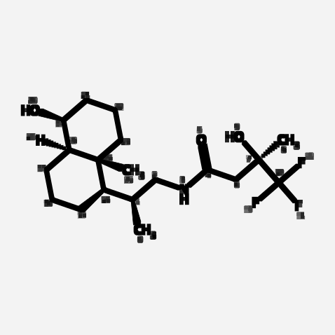 C[C@H](CNC(=O)C[C@@](C)(O)C(F)(F)F)[C@H]1CCC[C@H]2[C@@H](O)CCC[C@]12C